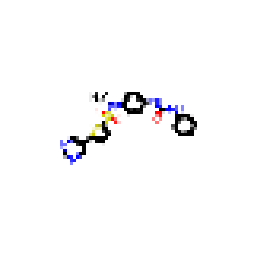 CN(c1ccc(NC(=O)Nc2ccccc2)cc1)S(=O)(=O)c1ccc(-c2cncnc2)s1